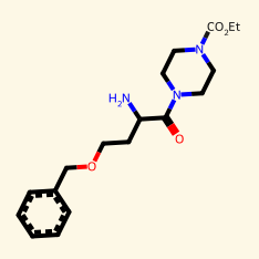 CCOC(=O)N1CCN(C(=O)C(N)CCOCc2ccccc2)CC1